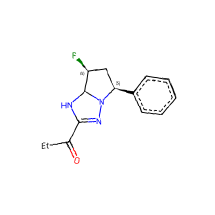 CCC(=O)C1=NN2C(N1)[C@@H](F)C[C@H]2c1ccccc1